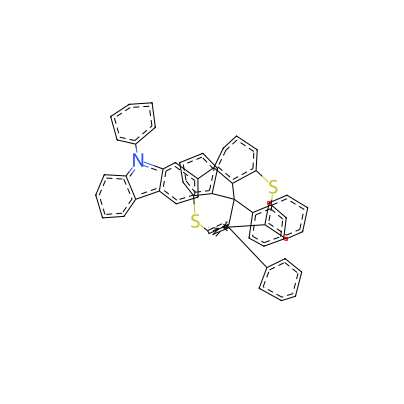 c1ccc(-c2ccc3c(c2-c2ccccc2)C2(c4ccccc4Sc4cccc(-c5ccc6c7ccccc7n(-c7ccccc7)c6c5)c42)c2ccccc2S3)cc1